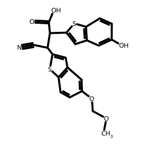 COCOc1ccc2sc(C(C#N)C(C(=O)O)c3cc4cc(O)ccc4s3)cc2c1